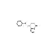 O=C(NC1CCC(=O)c2sccc21)c1ccccc1